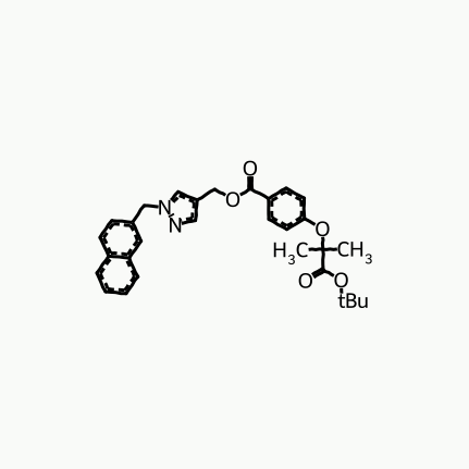 CC(C)(C)OC(=O)C(C)(C)Oc1ccc(C(=O)OCc2cnn(Cc3ccc4ccccc4c3)c2)cc1